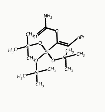 CCC/C=C(\OC(N)=O)[Si](O[Si](C)(C)C)(O[Si](C)(C)C)O[Si](C)(C)C